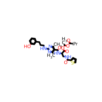 Cc1nc(NCCCc2cccc(O)c2)nc(C)c1C(=O)NC(CNC(=O)c1cccs1)C(=O)OC(C)OC(=O)C(C)C